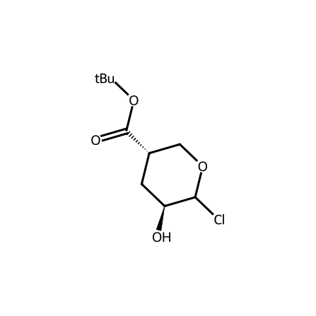 CC(C)(C)OC(=O)[C@@H]1COC(Cl)[C@@H](O)C1